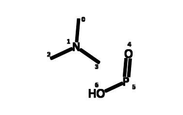 CN(C)C.O=PO